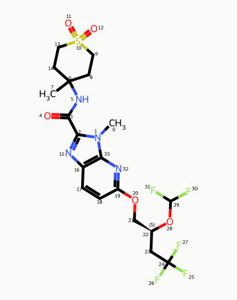 Cn1c(C(=O)NC2(C)CCS(=O)(=O)CC2)nc2ccc(OC[C@H](CC(F)(F)F)OC(F)F)nc21